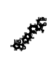 Cn1c(=O)n(CC(C)(C)C)c2ccc(C3=CC4CN(C(=O)[C@@]5(O)CCC[C@H]5F)CC4C3)nc21